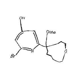 COC1(c2cc(O)cc(Br)n2)CCCOC1